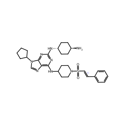 N[C@H]1CC[C@H](Nc2nc(NC3CCN(S(=O)(=O)/C=C/c4ccccc4)CC3)c3ncn(C4CCCC4)c3n2)CC1